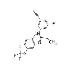 CCC(=O)N(Cc1ccc(SC(F)(F)F)cc1)c1cc(F)cc(C#N)c1